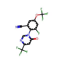 N#Cc1cc(OC(F)(F)F)cc(F)c1-n1cnc(C(F)(F)F)cc1=O